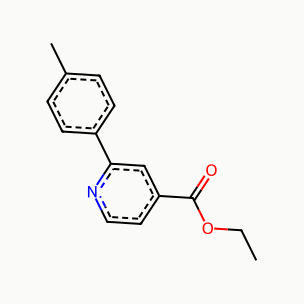 CCOC(=O)c1ccnc(-c2ccc(C)cc2)c1